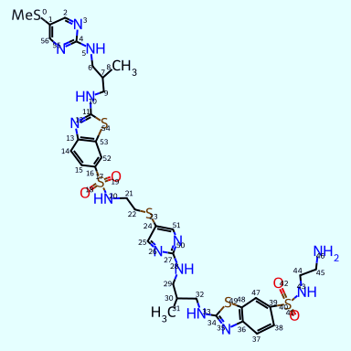 CSc1cnc(NCC(C)CNc2nc3ccc(S(=O)(=O)NCCSc4cnc(NCC(C)CNc5nc6ccc(S(=O)(=O)NCCN)cc6s5)nc4)cc3s2)nc1